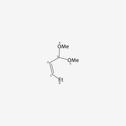 [CH2]C/C=C\C(OC)OC